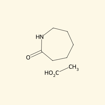 CC(=O)O.O=C1CCCCCN1